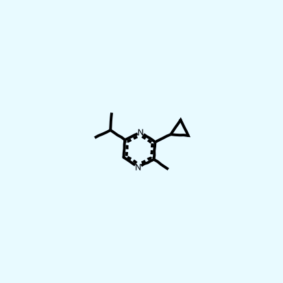 Cc1ncc(C(C)C)nc1C1CC1